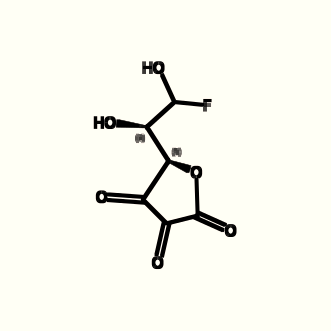 O=C1O[C@H]([C@@H](O)C(O)F)C(=O)C1=O